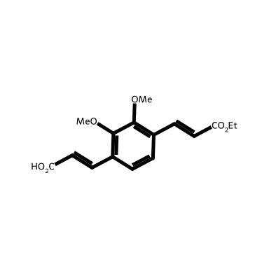 CCOC(=O)C=Cc1ccc(C=CC(=O)O)c(OC)c1OC